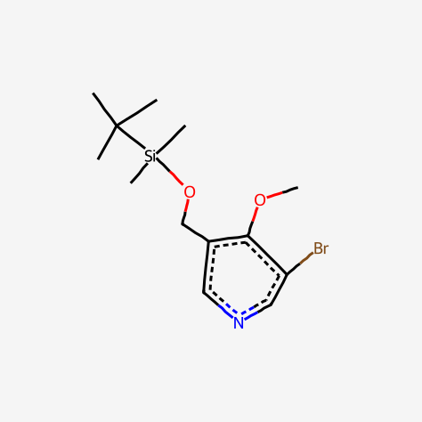 COc1c(Br)cncc1CO[Si](C)(C)C(C)(C)C